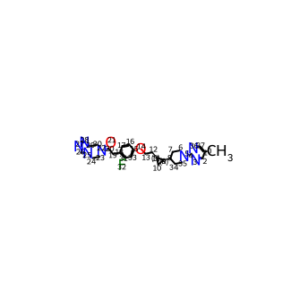 Cc1cnc(N2CCC([C@H]3C[C@H]3CCOc3ccc(CC(=O)N4CCn5cnnc5C4)c(F)c3)CC2)nc1